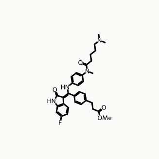 COC(=O)CCc1ccc(/C(Nc2ccc(N(C)C(=O)CCCCN(C)C)cc2)=C2/C(=O)Nc3cc(F)ccc32)cc1